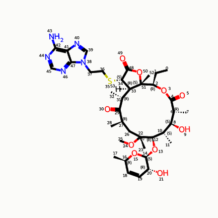 CC[C@H]1OC(=O)[C@H](C)[C@@H](O)[C@H](C)[C@@H](O[C@@H]2O[C@H](C)C=C[C@H]2O)[C@](C)(OC)C[C@@H](C)C(=O)[C@H](C)[C@H]2[C@H](SCCn3cnc4c(N)ncnc43)C(=O)O[C@@]21C